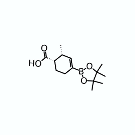 C[C@@H]1C=C(B2OC(C)(C)C(C)(C)O2)CC[C@@H]1C(=O)O